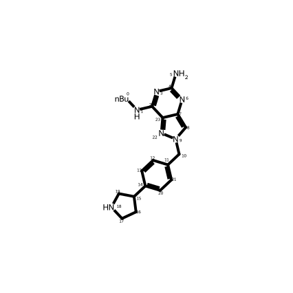 CCCCNc1nc(N)nc2cn(Cc3ccc(C4CCNC4)cc3)nc12